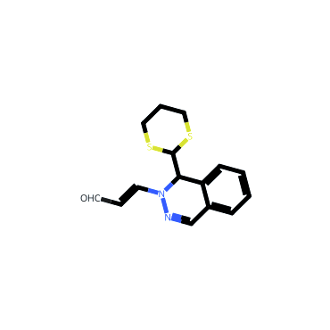 O=CC=CN1N=Cc2ccccc2C1C1SCCCS1